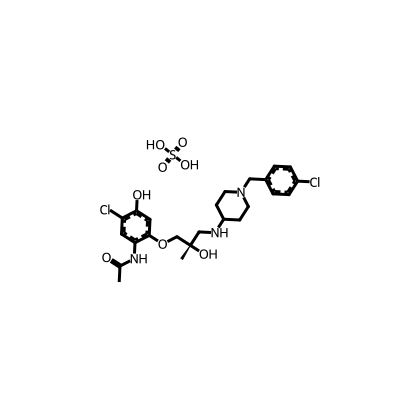 CC(=O)Nc1cc(Cl)c(O)cc1OC[C@@](C)(O)CNC1CCN(Cc2ccc(Cl)cc2)CC1.O=S(=O)(O)O